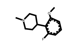 COc1cccc(F)c1C1CCN(C)CC1